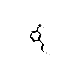 C/C=C/c1ccnc(N)c1